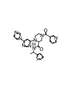 CC(NC(=O)C1CN(C(=O)c2cccnc2)CCN1c1cc(-n2ccnc2)ncn1)c1cccs1